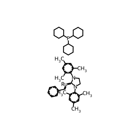 C1CCC(P(C2CCCCC2)C2CCCCC2)CC1.Cc1cc(C)c(N2CCN(c3c(C)cc(C)cc3C)[C]2=[Ru]=[CH]c2ccccc2)c(C)c1